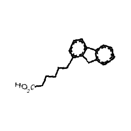 O=C(O)CCCCCc1cccc2c1Cc1ccccc1-2